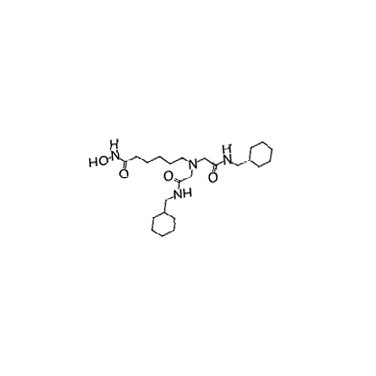 O=C(CCCCCN(CC(=O)NCC1CCCCC1)CC(=O)NCC1CCCCC1)NO